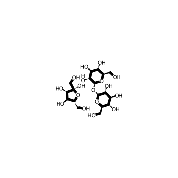 OC[C@H]1O[C@H](O[C@H]2O[C@H](CO)[C@@H](O)[C@H](O)[C@H]2O)[C@H](O)[C@@H](O)[C@@H]1O.OC[C@H]1O[C@](O)(CO)[C@@H](O)[C@@H]1O